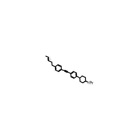 C/C=C/CCc1ccc(C#Cc2ccc(C3CCC(CCC)CC3)cc2)cc1